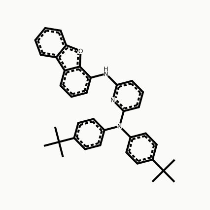 CC(C)(C)c1ccc(N(c2ccc(C(C)(C)C)cc2)c2cccc(Nc3cccc4c3oc3ccccc34)n2)cc1